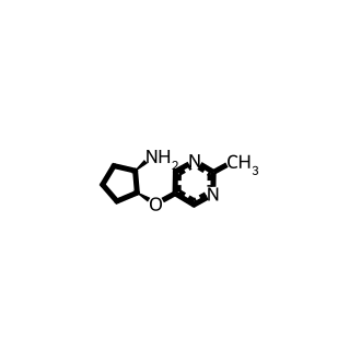 Cc1ncc(O[C@H]2CCC[C@H]2N)cn1